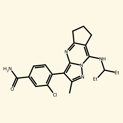 CCC(CC)Nc1c2c(nc3c(-c4ccc(C(N)=O)cc4Cl)c(C)nn13)CCC2